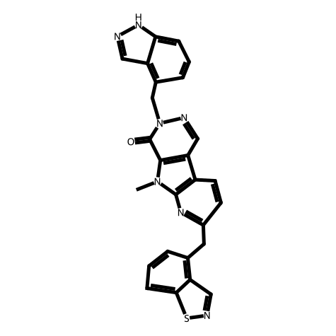 Cn1c2nc(Cc3cccc4sncc34)ccc2c2cnn(Cc3cccc4[nH]ncc34)c(=O)c21